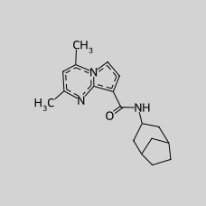 Cc1cc(C)n2ccc(C(=O)NC3CC4CCC(C4)C3)c2n1